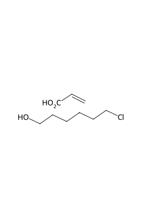 C=CC(=O)O.OCCCCCCCl